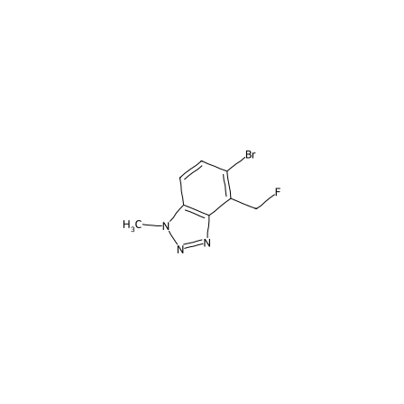 Cn1nnc2c(CF)c(Br)ccc21